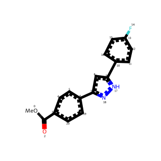 COC(=O)c1ccc(-c2cc(-c3ccc(F)cc3)[nH]n2)cc1